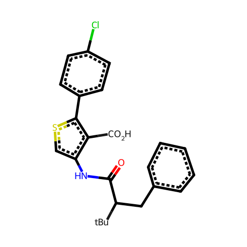 CC(C)(C)C(Cc1ccccc1)C(=O)Nc1csc(-c2ccc(Cl)cc2)c1C(=O)O